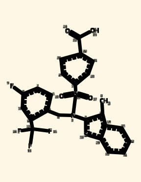 Cc1c(N(Cc2ccc(F)cc2C(F)(F)F)S(=O)(=O)c2ccc(C(=O)O)cc2)sc2ccccc12